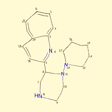 c1ccc2nc(C3CNCCN3N3CCCCC3)ccc2c1